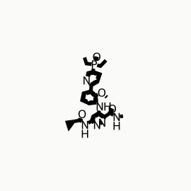 CCP(=O)(CC)c1ccc(-c2cccc(Nc3cc(NC(=O)C4CC4)nnc3C(=O)NC)c2OC)nc1